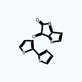 O=c1nc2ccnc-2c1=O.c1csc(-c2cccs2)c1